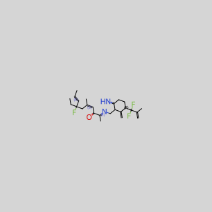 C=C1C(C/N=C(\C)C(=O)/C=C(/C)CC(F)(/C=C/C)CC)C(=N)CC[C@H]1C(F)(F)C(=C)C